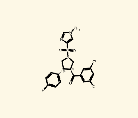 Cn1cnc(S(=O)(=O)N2C[C@@H](C(=O)c3cc(Cl)cc(Cl)c3)[C@H](c3ccc(F)cc3)C2)c1